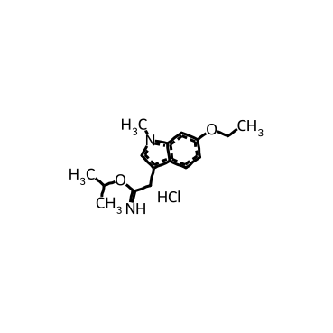 CCOc1ccc2c(CC(=N)OC(C)C)cn(C)c2c1.Cl